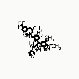 CCn1nnc2c(C)c(C(c3ccc(C)c(CN4C[C@@H](C)Cc5cc(C(F)(F)F)ccc5S4(=O)=O)c3)C(C)(C)C(=O)Nc3cccnc3)cc(OC)c21